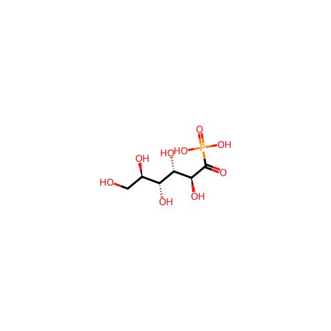 O=C([C@@H](O)[C@@H](O)[C@H](O)[C@H](O)CO)P(=O)(O)O